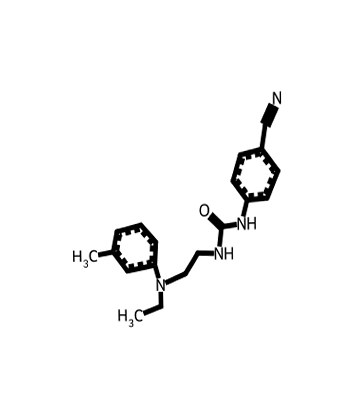 CCN(CCNC(=O)Nc1ccc(C#N)cc1)c1cccc(C)c1